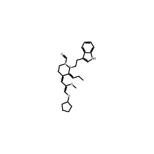 CCC=C1/C(=C\C(=C\OC2CCCC2)OC)CCN(C=O)[C@H]1CCc1c[nH]c2ccccc12